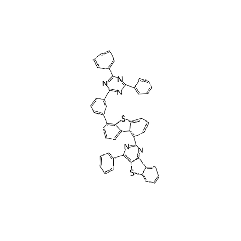 c1ccc(-c2nc(-c3ccccc3)nc(-c3cccc(-c4cccc5c4sc4cccc(-c6nc(-c7ccccc7)c7sc8ccccc8c7n6)c45)c3)n2)cc1